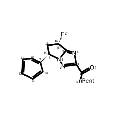 CCCCCC(=O)c1nc2n(n1)[C@H](c1ccccc1)C[C@@H]2F